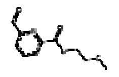 COCCOC(=O)c1cccc(C=O)n1